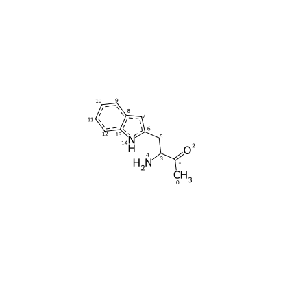 CC(=O)C(N)Cc1cc2ccccc2[nH]1